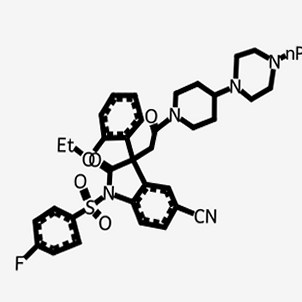 CCCN1CCN(C2CCN(C(=O)CC3(c4ccccc4OCC)C(=O)N(S(=O)(=O)c4ccc(F)cc4)c4ccc(C#N)cc43)CC2)CC1